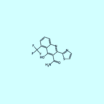 NC(=O)c1c(-c2nccs2)nc2cccc(C(F)(F)F)c2c1O